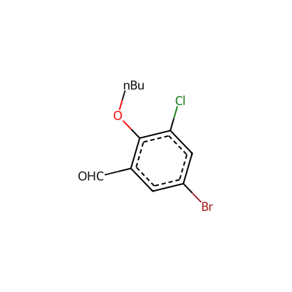 CCCCOc1c(Cl)cc(Br)cc1C=O